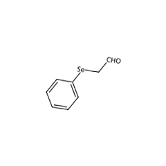 O=CC[Se]c1ccccc1